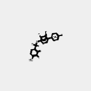 CC12CCC(C34CCC(OC(F)(F)c5ccc(O)c(F)c5F)(CC3)C(F)=C4F)(CC1)CC2